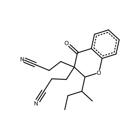 CCC(C)C1Oc2ccccc2C(=O)C1(CCC#N)CCC#N